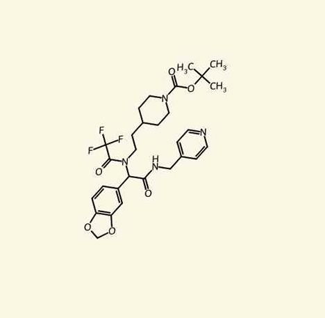 CC(C)(C)OC(=O)N1CCC(CCN(C(=O)C(F)(F)F)C(C(=O)NCc2ccncc2)c2ccc3c(c2)OCO3)CC1